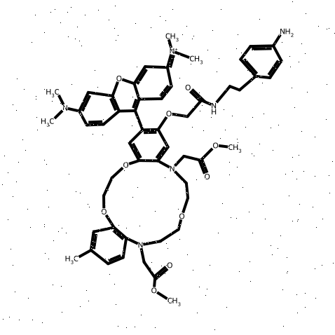 COC(=O)CN1CCOCCN(CC(=O)OC)c2cc(OCC(=O)NCCc3ccc(N)cc3)c(-c3c4ccc(=[N+](C)C)cc-4oc4cc(N(C)C)ccc34)cc2OCCOc2cc(C)ccc21